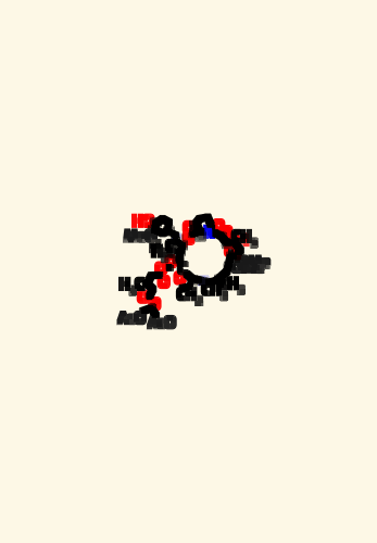 C=CC[C@@H]1/C=C(\C)C[C@H](C)C[C@H](OC)[C@H]2O[C@@](O)(C(=O)C(=O)N3CCCC[C@H]3C(=O)O[C@H](/C(C)=C/[C@@H]3CC[C@@H](O)[C@H](OC)C3)[C@H](C)[C@@H](OCOC(=O)CC(C)CC(=O)OC(COC(C)=O)COC(C)=O)CC1=O)[C@H](C)C[C@@H]2OC